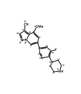 COc1cc(-c2cnc(N3CCNCC3)c(C)c2)cn2ncc(C#N)c12